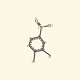 [CH2]c1ccc([N+](=O)[O-])cc1C